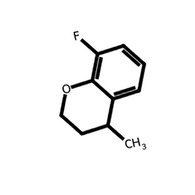 CC1CCOc2c(F)cccc21